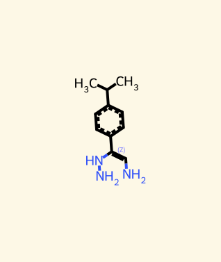 CC(C)c1ccc(/C(=C/N)NN)cc1